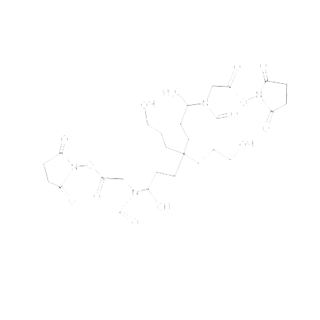 CC(CCC(CCCO)(CCCO)CCC(C)N(C=O)CC(=O)ON1C(=O)CCC1=O)N(C=O)CC(=O)ON1C(=O)CCC1=O